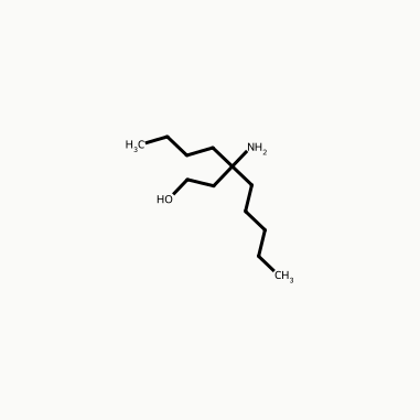 CCCCCC(N)(CCO)CCCC